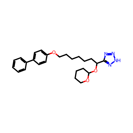 c1ccc(-c2ccc(OCCCCCCC(OC3CCCCO3)c3nn[nH]n3)cc2)cc1